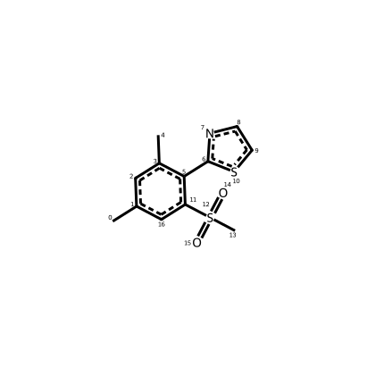 Cc1cc(C)c(-c2nccs2)c(S(C)(=O)=O)c1